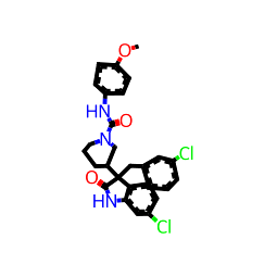 COc1ccc(NC(=O)N2CCCC(C3(Cc4cccc(Cl)c4)C(=O)Nc4cc(Cl)ccc43)C2)cc1